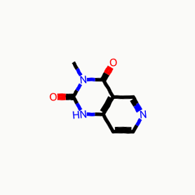 Cn1c(=O)[nH]c2ccncc2c1=O